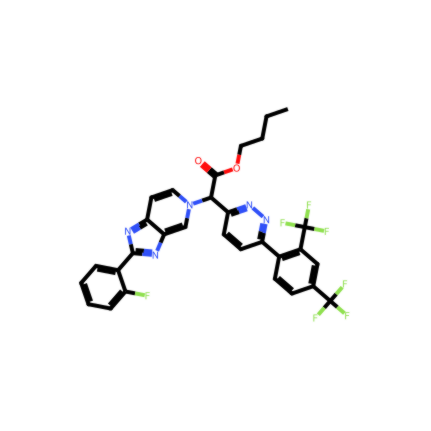 CCCCOC(=O)C(c1ccc(-c2ccc(C(F)(F)F)cc2C(F)(F)F)nn1)n1ccc2nc(-c3ccccc3F)nc-2c1